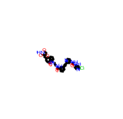 O=C1CCC(CC2CCC(=O)c3c(NCCNC(=O)c4cccc(C#Cc5cc(NC(=O)Nc6ccnc(Cl)c6)ccn5)c4)cccc3C2=O)C(=O)N1